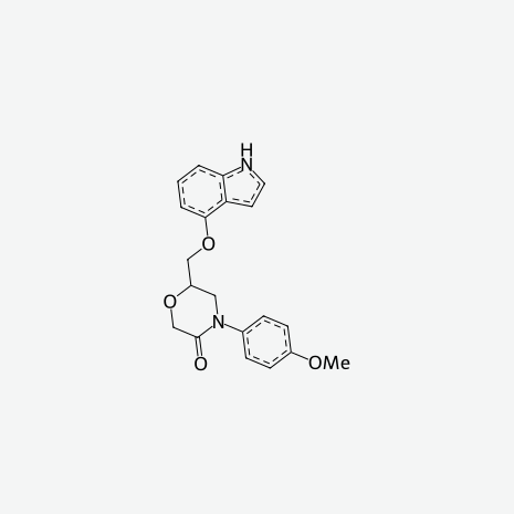 COc1ccc(N2CC(COc3cccc4[nH]ccc34)OCC2=O)cc1